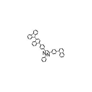 c1ccc(-c2nc(-c3ccc(-c4cccc5ccccc45)cc3)cc(-c3ccc(-c4ccc(C5c6ccccc6-c6ccccc65)c5ccccc45)cc3)n2)cc1